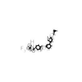 O=C(NS(=O)(=O)C(F)(F)F)c1ccc(COc2cccc(-c3ccc(OCC4CC4)nc3)c2)c(F)c1